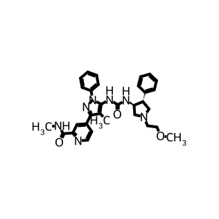 CNC(=O)c1cc(-c2nn(-c3ccccc3)c(NC(=O)N[C@@H]3CN(CCOC)C[C@H]3c3ccccc3)c2C)ccn1